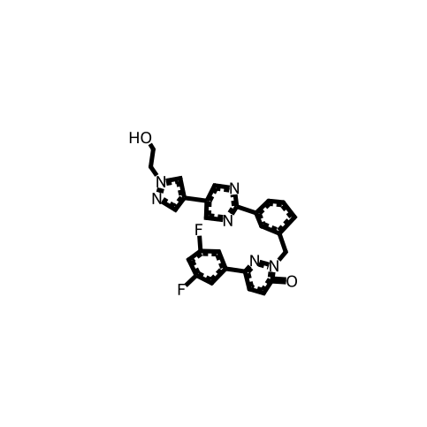 O=c1ccc(-c2cc(F)cc(F)c2)nn1Cc1cccc(-c2ncc(-c3cnn(CCO)c3)cn2)c1